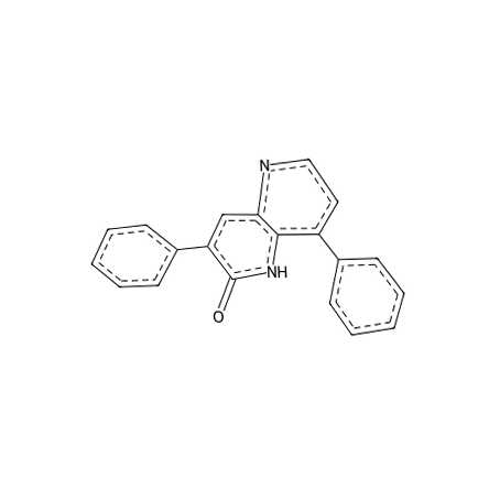 O=c1[nH]c2c(-c3ccccc3)ccnc2cc1-c1ccccc1